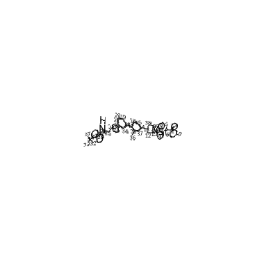 COC(=O)C(C)(C)S(=O)(=O)N1CCC(c2ccc(-c3cccc(OCCNC(=O)OC(C)(C)C)c3)c(C)c2)CC1